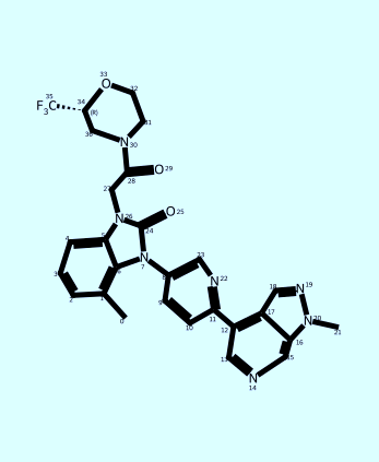 Cc1cccc2c1n(-c1ccc(-c3cncc4c3cnn4C)nc1)c(=O)n2CC(=O)N1CCO[C@@H](C(F)(F)F)C1